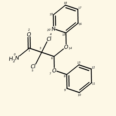 NC(=O)C(Cl)(Cl)C(Oc1ccccc1)Oc1ccccn1